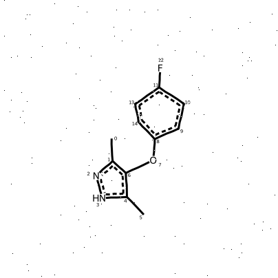 Cc1n[nH]c(C)c1Oc1ccc(F)cc1